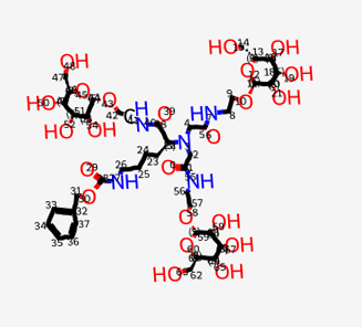 O=C(CN(CC(=O)NCCO[C@H]1O[C@H](CO)[C@@H](O)[C@H](O)[C@@H]1O)[C@@H](CCCCNC(=O)OCc1ccccc1)C(=O)NCCO[C@H]1O[C@H](CO)[C@@H](O)[C@H](O)[C@@H]1O)NCCO[C@H]1O[C@H](CO)[C@@H](O)[C@H](O)[C@@H]1O